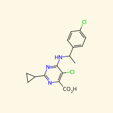 CC(Nc1nc(C2CC2)nc(C(=O)O)c1Cl)c1ccc(Cl)cc1